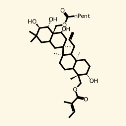 C=CCC1[C@@]2(C)CC[C@H](O)[C@](C)(COC(=O)/C(C)=C/C)C2CC[C@@]1(C)[C@@]1(C)CC2CC(C)(C)[C@@H](O)[C@H](O)[C@]2(COC(=O)CCCCC)[C@H](O)C1